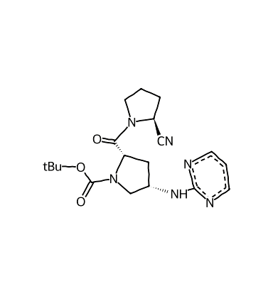 CC(C)(C)OC(=O)N1C[C@@H](Nc2ncccn2)C[C@H]1C(=O)N1CCC[C@H]1C#N